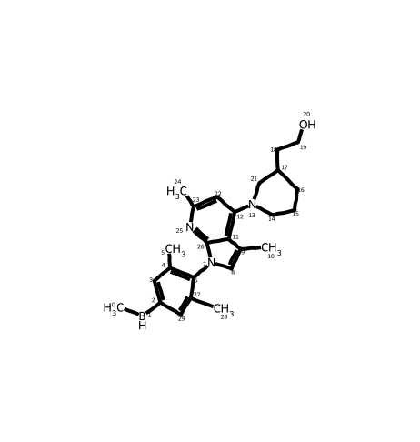 CBc1cc(C)c(-n2cc(C)c3c(N4CCCC(CCO)C4)cc(C)nc32)c(C)c1